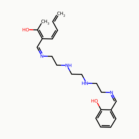 C=C\C=C/C(/C=N\CCNCCNCC/N=C\c1ccccc1O)=C(\C)O